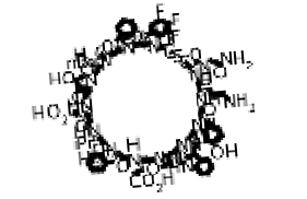 CCCC[C@H]1C(=O)N2C[C@H](O)C[C@@H]2C(=O)N[C@@H](CC(=O)O)C(=O)N[C@@H](C(C)C)C(=O)N(C)[C@@H](Cc2ccccc2)C(=O)N[C@@H](CCC(=O)O)C(=O)N2CC[C@@H]2C(=O)N[C@@H](Cc2c[nH]c3ccccc23)C(=O)N[C@@H](Cc2ccc(O)cc2)C(=O)N[C@@H](CCCN)C(=O)N[C@H](C(=O)NCC(N)=O)CSCC(=O)N[C@@H](Cc2cc(F)c(F)c(F)c2)C(=O)N(C)[C@@H](Cc2ccccc2)C(=O)N1C